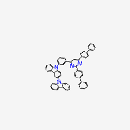 c1ccc(-c2ccc(-c3cc(-c4cccc(-n5c6ccccc6c6cc(-n7c8ccccc8c8ccccc87)ccc65)c4)nc(-c4ccc(-c5ccccc5)cc4)n3)cc2)cc1